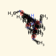 CCCCCC/C=C\COC(=O)CCCCCC(CN(CCCCNC(=O)CN(C)CC(=O)NCCCCN(CC(CCCCCC(=O)OC/C=C\CCCCCC)O[Si](C)(C)C(C)(C)C)CC(CCCCCC(=O)OC/C=C\CCCCCC)O[Si](C)(C)C(C)(C)C)CC(CCCCCC(=O)OC/C=C\CCCCCC)O[Si](C)(C)C(C)(C)C)O[Si](C)(C)C(C)(C)C